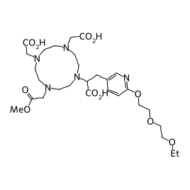 CCOCCOCCOc1ccc(CC(C(=O)O)N2CCN(CC(=O)O)CCN(CC(=O)O)CCN(CC(=O)OC)CC2)cn1